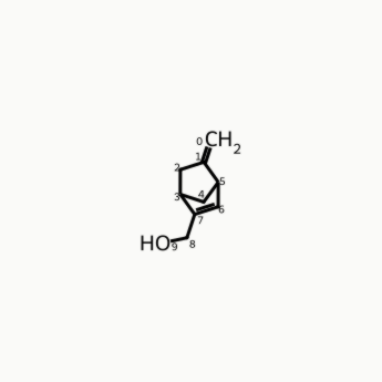 C=C1CC2CC1C=C2CO